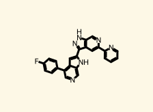 Fc1ccc(-c2cncc3[nH]c(-c4n[nH]c5cnc(-c6ccccn6)cc45)cc23)cc1